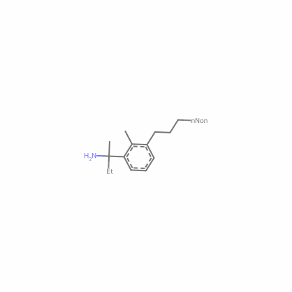 CCCCCCCCCCCCc1cccc(C(C)(N)CC)c1C